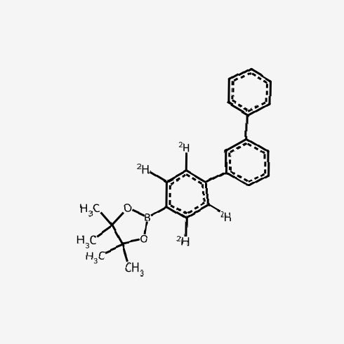 [2H]c1c([2H])c(-c2cccc(-c3ccccc3)c2)c([2H])c([2H])c1B1OC(C)(C)C(C)(C)O1